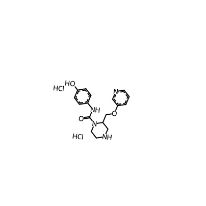 Cl.Cl.O=C(Nc1ccc(O)cc1)N1CCNCC1COc1cccnc1